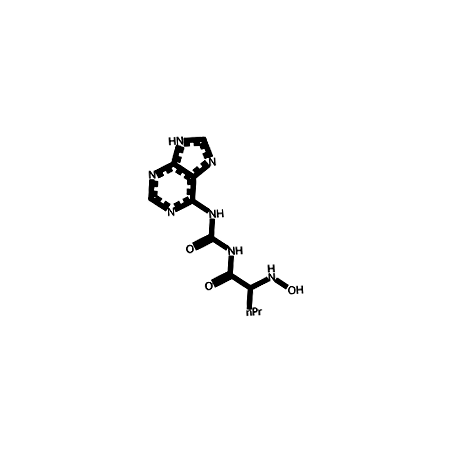 CCCC(NO)C(=O)NC(=O)Nc1ncnc2[nH]cnc12